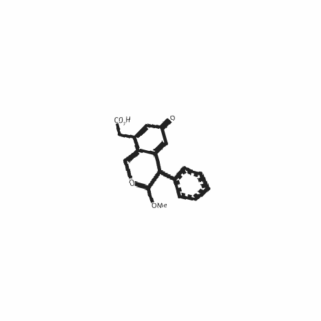 COC1OC=C2C(CC(=O)O)=CC(=O)C=C2C1c1ccccc1